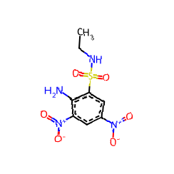 CCNS(=O)(=O)c1cc([N+](=O)[O-])cc([N+](=O)[O-])c1N